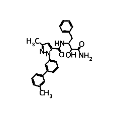 Cc1cccc(-c2cccc(-n3nc(C)cc3C(=O)N[C@@H](Cc3ccccc3)C(O)C(N)=O)c2)c1